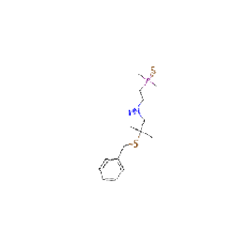 CC(C)(CNCCP(C)(C)=S)SCc1ccccc1